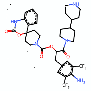 Nc1c(C(F)(F)F)cc(C[C@@H](OC(=O)N2CCC3(CC2)OC(=O)Nc2ccccc23)C(=O)N2CCC(C3CCNCC3)CC2)cc1C(F)(F)F